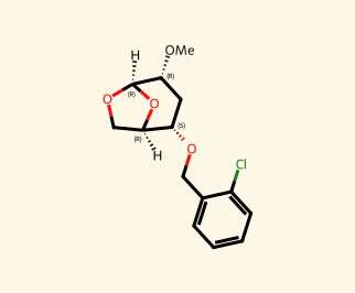 CO[C@@H]1C[C@H](OCc2ccccc2Cl)[C@H]2CO[C@@H]1O2